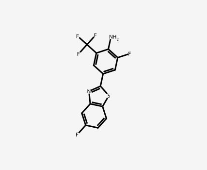 Nc1c(F)cc(-c2nc3cc(F)ccc3s2)cc1C(F)(F)F